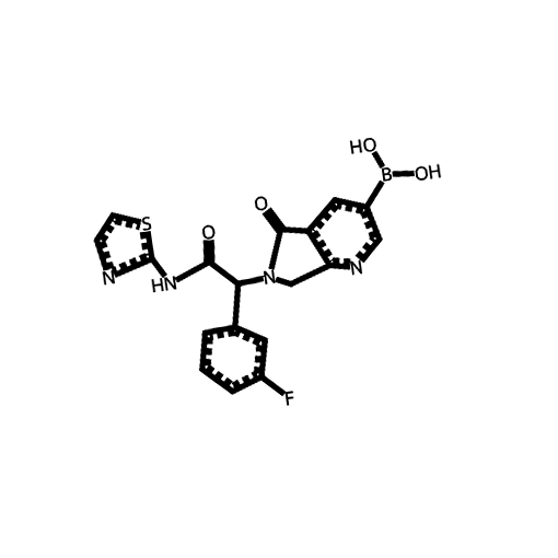 O=C(Nc1nccs1)C(c1cccc(F)c1)N1Cc2ncc(B(O)O)cc2C1=O